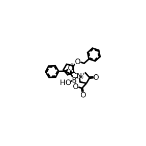 O=C1C[N@+]2(C3CCC[C@@H]3OCc3ccccc3)CC1C(=O)O[B-]2(O)C1OC1c1ccccc1